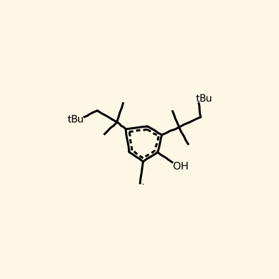 [CH2]c1cc(C(C)(C)CC(C)(C)C)cc(C(C)(C)CC(C)(C)C)c1O